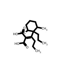 CCCC(=C(C(=O)O)C(=O)O)C1(CCC)C(C)CCCC1C